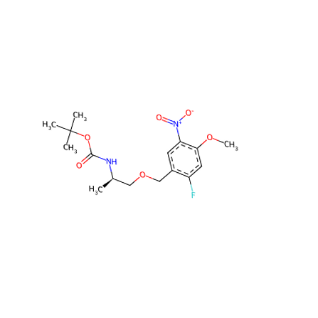 COc1cc(F)c(COC[C@@H](C)NC(=O)OC(C)(C)C)cc1[N+](=O)[O-]